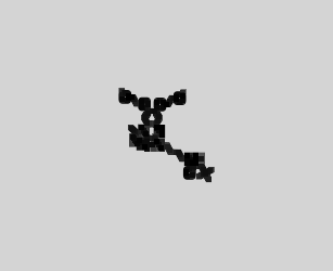 COCCOc1cc2nc(NCCCCNC(=O)CC(C)(C)C)c3nnc(C)n3c2cc1OCCOC